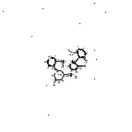 COc1cccc(F)c1-c1nc(CNc2cnccc2N2C[C@H](C)C[C@H](N)C2)ccc1F